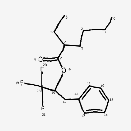 CCCCC(CC)C(=O)OC(Cc1ccccc1)C(F)(F)F